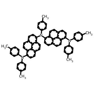 Cc1ccc(N(c2ccc(C)cc2)c2ccc3ccc4c(N(c5ccc(C)cc5)c5ccc6ccc7c(N(c8ccc(C)cc8)c8ccc(C)cc8)ccc8ccc5c6c87)ccc5ccc2c3c54)cc1